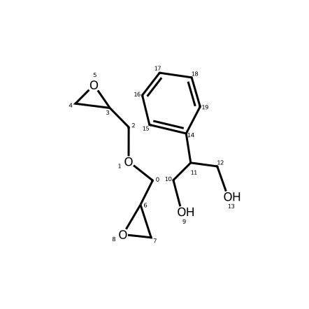 C(OCC1CO1)C1CO1.OCC(CO)c1ccccc1